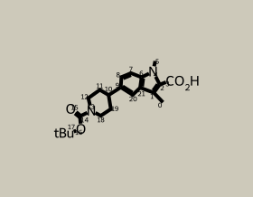 Cc1c(C(=O)O)n(C)c2ccc(C3CCN(C(=O)OC(C)(C)C)CC3)cc12